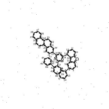 c1ccc(-c2ccc3oc4cccc(-c5nc(-c6ccc7c(ccc8c9ccccc9ccc78)c6)nc(-c6ccccc6-c6ccccc6)n5)c4c3c2)cc1